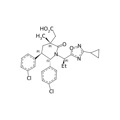 CC[C@H](c1nc(C2CC2)no1)N1C(=O)[C@@](C)(CC(=O)O)C[C@H](c2cccc(Cl)c2)[C@H]1c1ccc(Cl)cc1